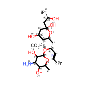 CC(C)/C=C/[C@@H](CC1O[C@](O)(C[C@@H](O)C(C)C)C[C@H](O)[C@H]1C(=O)O)OC1OC(C)C(O)C(N)C1O